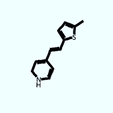 Cc1ccc(/C=C/C2=CCNC=C2)s1